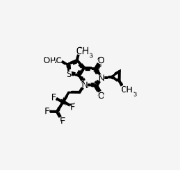 Cc1c(C=O)sc2c1c(=O)n(C1CC1C)c(=O)n2CCC(F)(F)C(F)F